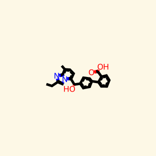 CCc1cn2c(C(O)c3ccc(-c4ccccc4C(=O)O)cc3)ccc(C)c2n1